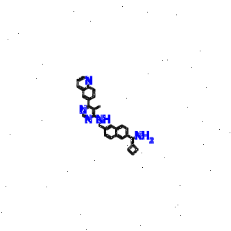 Cc1c(NCc2ccc3cc(C(N)=C4CCC4)ccc3c2)ncnc1-c1ccc2ncccc2c1